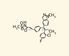 CC/C(=C(/c1ccc(/C=C/C(=O)NS(C)(=O)=O)cc1)c1ccc2c(cnn2C)c1)c1ccc(F)cc1Cl